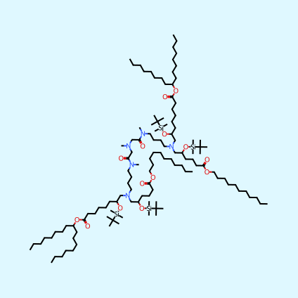 CCCCCCCCCCCOC(=O)CCCC(CN(CCCCN(C)C(=O)CN(C)CC(=O)N(C)CCCCN(CC(CCCCCC(=O)OC(CCCCCCCC)CCCCCCCC)O[Si](C)(C)C(C)(C)C)CC(CCCC(=O)OCCCCCCCCCCC)O[Si](C)(C)C(C)(C)C)CC(CCCCCC(=O)OC(CCCCCCCC)CCCCCCCC)O[Si](C)(C)C(C)(C)C)O[Si](C)(C)C(C)(C)C